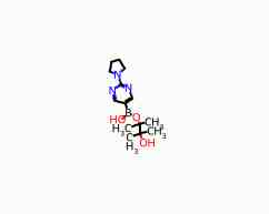 CC(C)(O)C(C)(C)OB(O)c1cnc(N2CCCC2)nc1